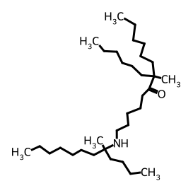 CCCCCCCC(C)(CCCC)NCCCCCC(=O)C(C)(CCCCCC)CCCCCC